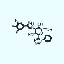 OC[C@H]1O[C@@H](c2nncn2-c2ccccc2)[C@H](O)[C@@H](n2cc(-c3cc(F)c(F)c(F)c3)nn2)[C@H]1O